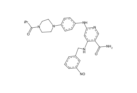 CC(C)C(=O)N1CCN(c2ccc(Nc3cc(NCc4cccc(N=O)c4)c(C(N)=O)cn3)cc2)CC1